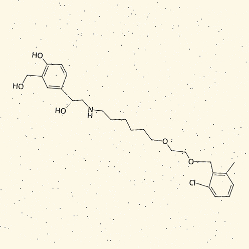 Cc1cccc(Cl)c1COCCOCCCCCCNC[C@H](O)c1ccc(O)c(CO)c1